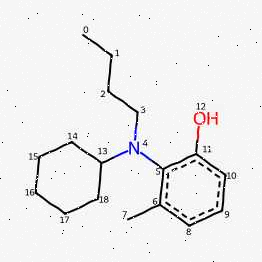 CCCCN(c1c(C)cccc1O)C1CCCCC1